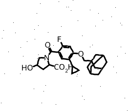 O=C(O)C1CC(O)CN1C(=O)c1cc(C2CC2)c(OCC23CC4CC(CC(C4)C2)C3)cc1F